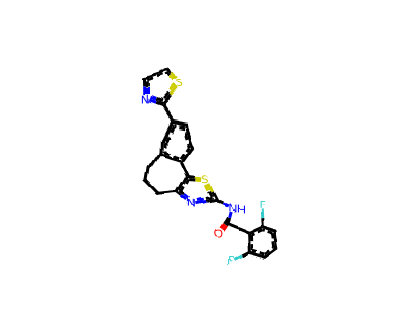 O=C(Nc1nc2c(s1)-c1ccc(-c3nccs3)cc1CCC2)c1c(F)cccc1F